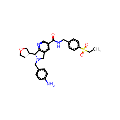 CCS(=O)(=O)c1ccc(CNC(=O)c2cnc3c(c2)CN(Cc2ccc(N)cc2)[C@@H]3[C@@H]2CCOC2)cc1